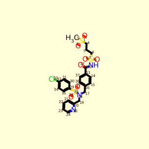 CS(=O)(=O)CCCS(=O)(=O)NC(=O)c1ccc(CN(Cc2ccccn2)S(=O)(=O)c2ccc(Cl)cc2)cc1